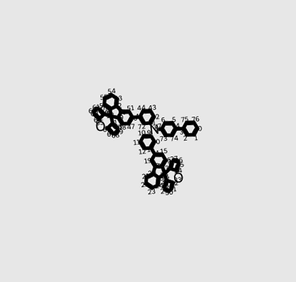 c1ccc(-c2ccc(N(c3cccc(-c4ccc5c(c4)-c4ccccc4C54c5ccccc5Oc5ccccc54)c3)c3cccc(-c4ccc5c(c4)-c4ccccc4C54c5ccccc5Oc5ccccc54)c3)cc2)cc1